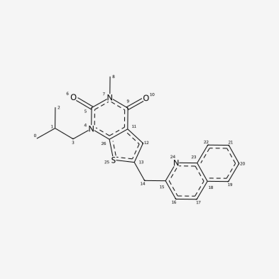 CC(C)Cn1c(=O)n(C)c(=O)c2cc(Cc3ccc4ccccc4n3)sc21